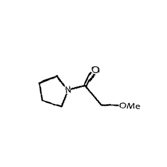 COCC(=O)N1CCCC1